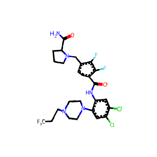 NC(=O)C1CCCN1Cc1ccc(C(=O)Nc2cc(Cl)c(Cl)cc2N2CCN(CCC(F)(F)F)CC2)c(F)c1F